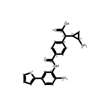 Nc1ccc(-c2cccs2)cc1NC(=O)c1ccc(C(C(=O)O)C2CC2N)cc1